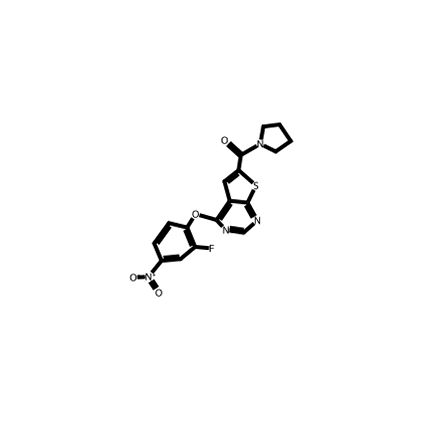 O=C(c1cc2c(Oc3ccc([N+](=O)[O-])cc3F)ncnc2s1)N1CCCC1